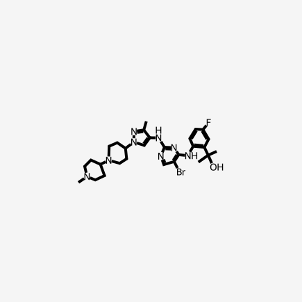 Cc1nn(C2CCN(C3CCN(C)CC3)CC2)cc1Nc1ncc(Br)c(Nc2ccc(F)cc2C(C)(C)O)n1